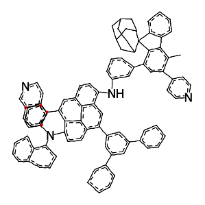 Cc1c(-c2ccncc2)cc(-c2cccc(Nc3ccc4cc(-c5cccc6cnccc56)c5c(N(c6ccccc6)c6cccc7ccccc67)ccc6c(-c7cc(-c8ccccc8)cc(-c8ccccc8)c7)cc3c4c65)c2)c2c1-c1ccccc1C21C2CC3CC(C2)CC1C3